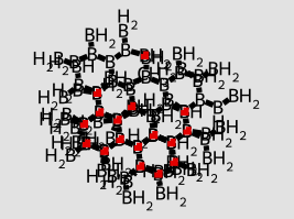 BBB(B)B(B(B)B)B(B(B(B(B)B)B(B)B)B(B(B)B)B(B)B)B(B(B(C)B(B(B(B)B)B(B)B)B(B(B)BB)B(B(B)B)B(B)B)B(B(B(B)B)B(B)B)B(B(B)B(B)B)B(B(B)B)B(B)B)B(B(B(B)B)B(B)B)B(B(BB)B(B)B)B(B(B)B)B(B)B